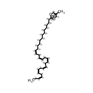 CC/C=C\C/C=C\C/C=C\C/C=C\C/C=C\C/C=C\CCCCCCCCCCCCC12OCC(C)(CO1)CO2